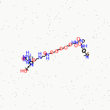 CCn1c(-c2nonc2N)nc2c(C#CC(C)(C)O)ncc(OCCCNCCCC(=O)NCCOCCOCCOCCOCCOCCC(=O)NCC(=O)N3CCC[C@H]3C(=O)NCc3ccc(-c4scnc4C)cc3)c21